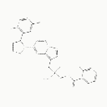 CNC(C)(CNC(=O)c1ccccc1O)Cc1cnn2ccc(N3CCCC3c3cc(F)ccc3F)nc12